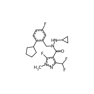 Cn1nc(C(F)F)c(C(=O)N(Cc2cc(F)ccc2C2CCCC2)NC2CC2)c1F